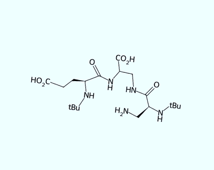 CC(C)(C)N[C@@H](CN)C(=O)NCC(NC(=O)[C@H](CCC(=O)O)NC(C)(C)C)C(=O)O